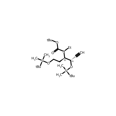 C#C[C@H](O[Si](C)(C)C(C)(C)C)[C@@H](CCO[Si](C)(C)C(C)(C)C)N(CC)C(=O)OC(C)(C)C